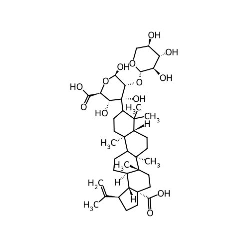 C=C(C)[C@@H]1CC[C@]2(C(=O)O)CC[C@]3(C)[C@H](CCC4[C@@]5(C)CCC([C@@]6(O)[C@H](O)[C@@H](C(=O)O)O[C@@H](O)[C@@H]6O[C@@H]6OC[C@@H](O)[C@H](O)[C@H]6O)C(C)(C)[C@@H]5CC[C@]43C)[C@@H]12